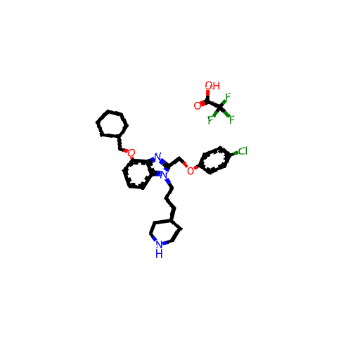 Clc1ccc(OCc2nc3c(OCC4CCCCC4)cccc3n2CCCC2CCNCC2)cc1.O=C(O)C(F)(F)F